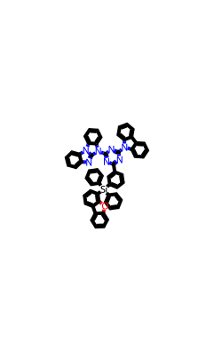 c1ccc([Si](c2ccccc2)(c2cccc(-c3nc(-n4c5ccccc5c5ccccc54)nc(-n4c5ccccc5n5c6ccccc6nc45)n3)c2)c2cccc3c2oc2ccccc23)cc1